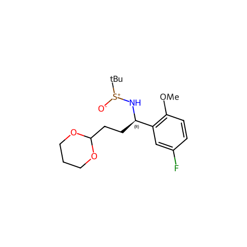 COc1ccc(F)cc1[C@@H](CCC1OCCCO1)N[S+]([O-])C(C)(C)C